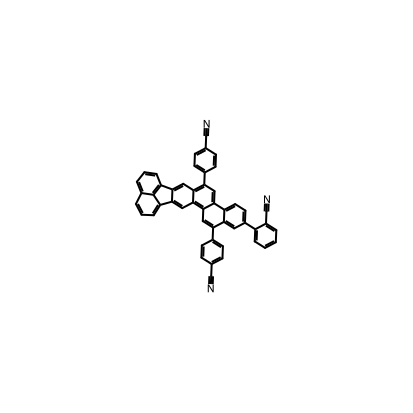 N#Cc1ccc(-c2cc3c4cc5c(cc4c(-c4ccc(C#N)cc4)cc3c3ccc(-c4ccccc4C#N)cc23)-c2cccc3cccc-5c23)cc1